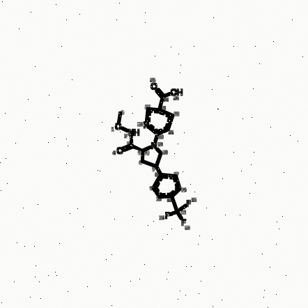 CONC(=O)[C@@H]1CC(c2ccc(C(F)(F)F)cc2)CN1c1ccc(C(=O)O)cn1